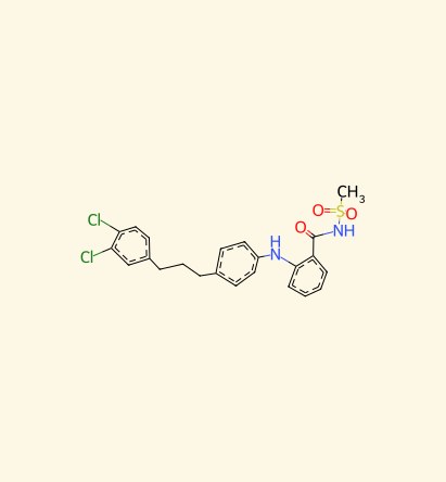 CS(=O)(=O)NC(=O)c1ccccc1Nc1ccc(CCCc2ccc(Cl)c(Cl)c2)cc1